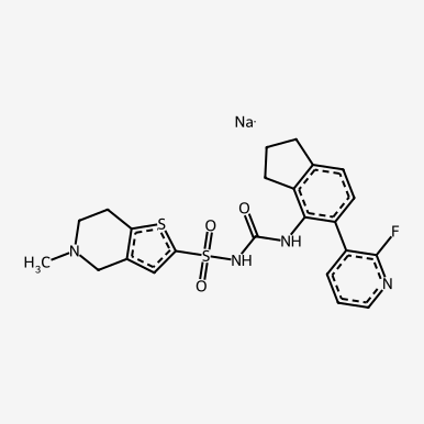 CN1CCc2sc(S(=O)(=O)NC(=O)Nc3c(-c4cccnc4F)ccc4c3CCC4)cc2C1.[Na]